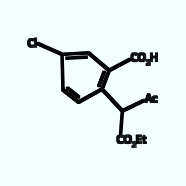 CCOC(=O)C(C(C)=O)c1ccc(Cl)cc1C(=O)O